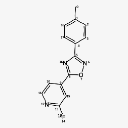 Cc1ccc(-c2noc(-c3ccnc([18F])c3)n2)cc1